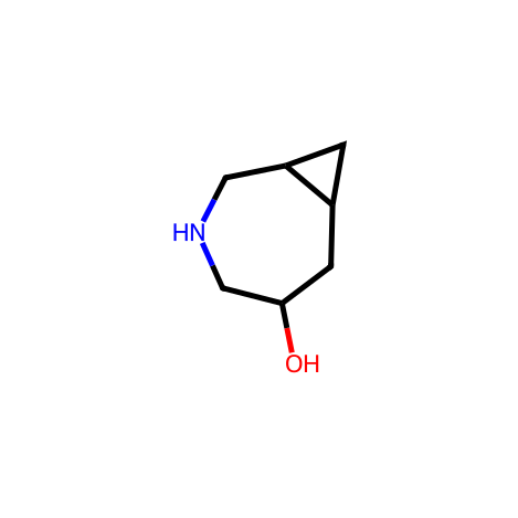 OC1CNCC2CC2C1